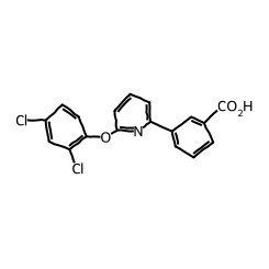 O=C(O)c1cccc(-c2cccc(Oc3ccc(Cl)cc3Cl)n2)c1